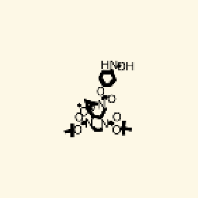 COC(=O)C1C(CN(C(=O)Oc2ccc(NO)cc2)C2CC2)N(C(=O)OC(C)(C)C)CCN1C(=O)OC(C)(C)C